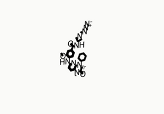 COc1cc(C(=O)NC2CN(CN=[N+]=[N-])C2)ccc1Nc1ccc2c(n1)N(C1CCCCC1)[C@H](C)C(=O)N2C